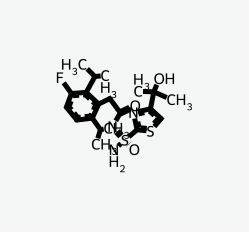 CC(C)c1ccc(F)c(C(C)C)c1CC(=O)N=S(N)(=O)c1nc(C(C)(C)O)cs1